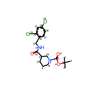 CC(C)(C)OC(=O)N1CCCC(C(=O)NCc2ccc(Cl)cc2Cl)C1